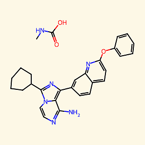 CNC(=O)O.Nc1nccn2c(C3CCCCC3)nc(-c3ccc4ccc(Oc5ccccc5)nc4c3)c12